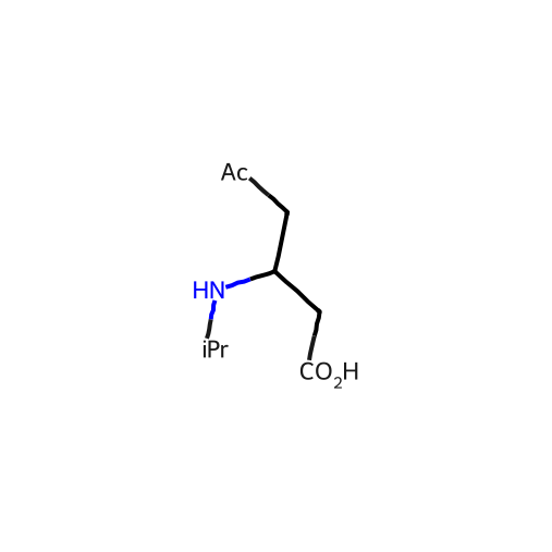 CC(=O)CC(CC(=O)O)NC(C)C